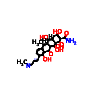 C/N=C\C=C\c1ccc2c(c1O)C(=O)C1=C(O)[C@]3(O)C(=O)C(C(N)=O)=C(O)C[C@@H]3[C@@H](O)[C@@H]1[C@H]2C